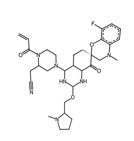 C=CC(=O)N1CCN(C2NC(OCC3CCCN3C)NC3C(=O)[C@]4(CCC32)CN(C)c2cccc(F)c2O4)CC1CC#N